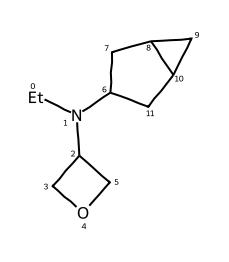 CCN(C1COC1)C1CC2CC2C1